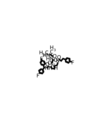 CN[C@@H](C)C(=O)N[C@H]1CN(C(=O)CCc2ccc(F)cc2)CC[C@H]2CC[C@@H](C(=O)NC(c3ccc(F)cc3)c3ccc(F)cc3)N2C1=O